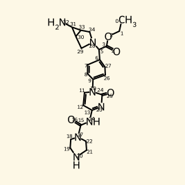 CCOC(=O)C(c1ccc(-n2ccc(NC(=O)N3CCNCC3)nc2=O)cc1)N1CC2C(N)C2C1